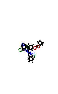 Clc1ccccc1CNC(=Nc1c(Cl)cncc1Cl)c1cccc(OCOC2CCCC2)c1